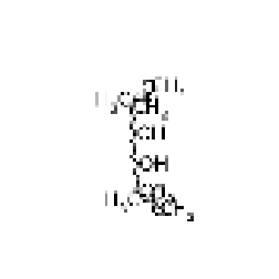 COC(=O)CC(C)(C)CCCC(O)CCCC(O)CCCC(C)(C)CC(=O)OC